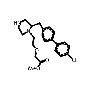 COC(=O)COCCN1CCNCC1Cc1ccc(-c2ccc(Cl)cc2)cc1